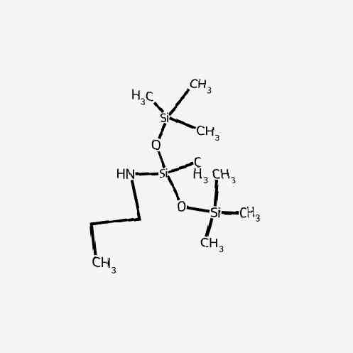 CCCN[Si](C)(O[Si](C)(C)C)O[Si](C)(C)C